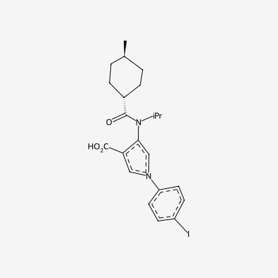 CC(C)N(c1cn(-c2ccc(I)cc2)cc1C(=O)O)C(=O)[C@H]1CC[C@H](C)CC1